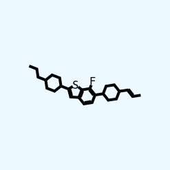 C/C=C/C1CCC(c2ccc3cc(C4CCC(CCC)CC4)sc3c2F)CC1